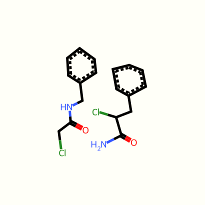 NC(=O)C(Cl)Cc1ccccc1.O=C(CCl)NCc1ccccc1